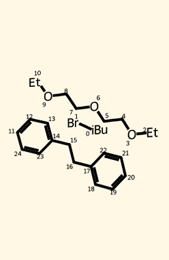 CCC(C)Br.CCOCCOCCOCC.c1ccc(CCc2ccccc2)cc1